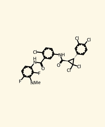 CNc1c(F)ccc(NC(=O)c2cc(NC(=O)[C@H]3[C@H](c4ccc(Cl)c(Cl)c4)C3(Cl)Cl)ccc2Cl)c1F